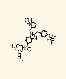 CCN(CC)C(=O)c1ccc2c(c1)nc(Cc1ccc(OC(F)(F)F)cc1)n2CC1CCCN1CC